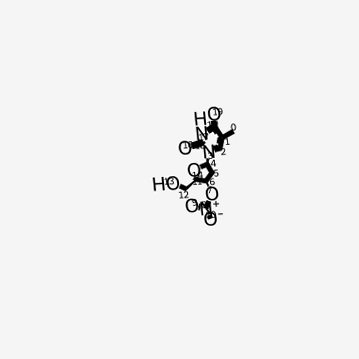 Cc1cn([C@H]2C[C@H](O[N+](=O)[O-])[C@@H](CO)O2)c(=O)[nH]c1=O